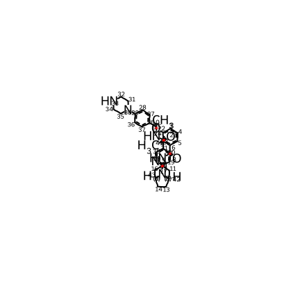 COc1cccc(C(=O)N[C@H]2C[C@H]3CC[C@@H](C2)N3c2ccc(C(=O)NCc3ccc(N4CCNCC4)cc3)cn2)c1C